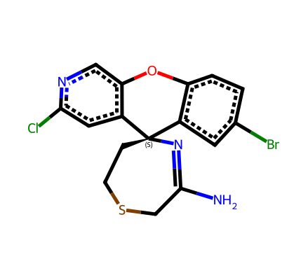 NC1=N[C@@]2(CCSC1)c1cc(Br)ccc1Oc1cnc(Cl)cc12